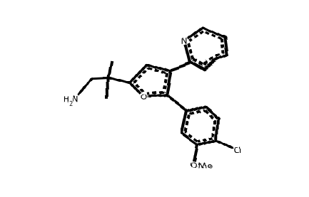 COc1cc(-c2oc(C(C)(C)CN)cc2-c2ccccn2)ccc1Cl